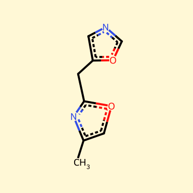 Cc1coc(Cc2cnco2)n1